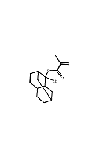 C=C(C)C(=O)OC1(CC)C2CCC3CCC(C2)CC31